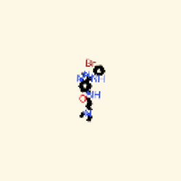 CCN(CC)CC=CC(=O)Nc1ccc2ncnc(Nc3cccc(Br)c3)c2c1